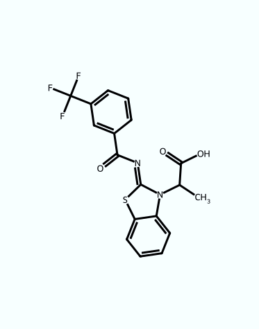 CC(C(=O)O)n1/c(=N/C(=O)c2cccc(C(F)(F)F)c2)sc2ccccc21